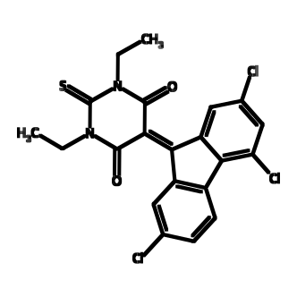 CCN1C(=O)C(=C2c3cc(Cl)ccc3-c3c(Cl)cc(Cl)cc32)C(=O)N(CC)C1=S